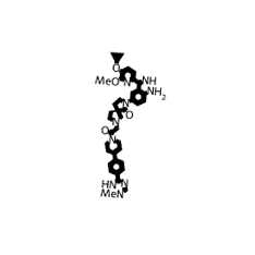 CN/C=N\C(=N)c1ccc(C2=CCN(C(=O)CN3CC[C@]4(CCN(c5ccc(N)c(C(=N)c6ccc(OC7CC7)c(OC)n6)c5)C4=O)C3)CC2)cc1